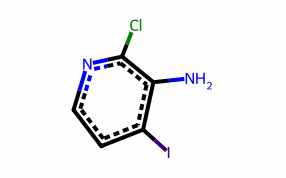 Nc1c(I)ccnc1Cl